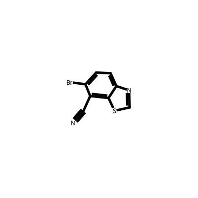 N#Cc1c(Br)ccc2ncsc12